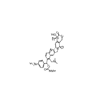 CC[C@@]1(O)C(=O)OCc2c1cc1n(c2=O)Cc2cc3c(CN(C)C)c(C(OC(=O)NC)c4ccc(N)cc4)ccc3nc2-1